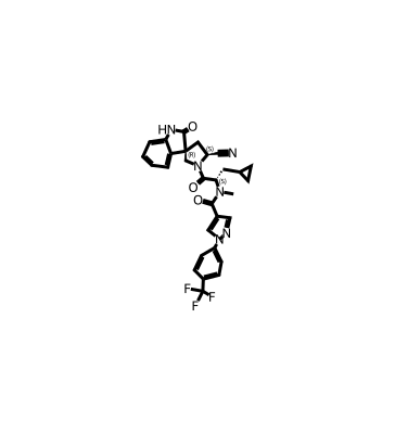 CN(C(=O)c1cnn(-c2ccc(C(F)(F)F)cc2)c1)[C@@H](CC1CC1)C(=O)N1C[C@]2(C[C@H]1C#N)C(=O)Nc1ccccc12